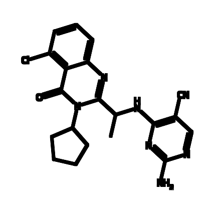 CC(Nc1nc(N)ncc1C#N)c1nc2cccc(Cl)c2c(=O)n1C1CCCC1